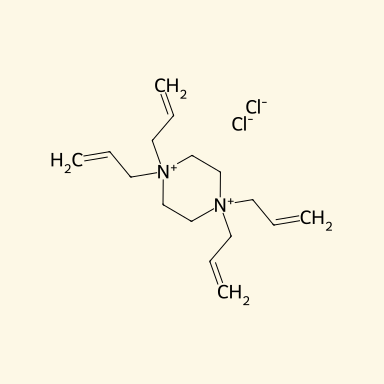 C=CC[N+]1(CC=C)CC[N+](CC=C)(CC=C)CC1.[Cl-].[Cl-]